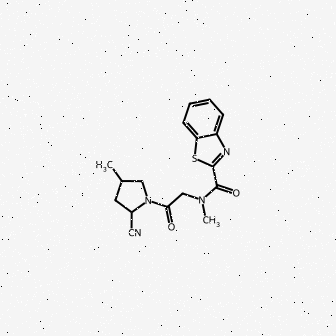 CC1CC(C#N)N(C(=O)CN(C)C(=O)c2nc3ccccc3s2)C1